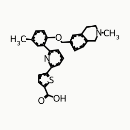 Cc1ccc(OCc2ccc3c(c2)CCN(C)C3)c(-c2cccc(-c3ccc(C(=O)O)s3)n2)c1